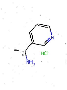 C[C@@H](N)c1cccnc1.Cl